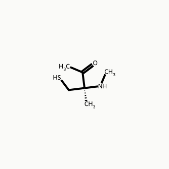 CN[C@@](C)(CS)C(C)=O